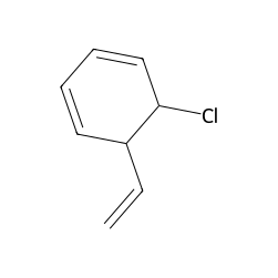 C=CC1C=CC=CC1Cl